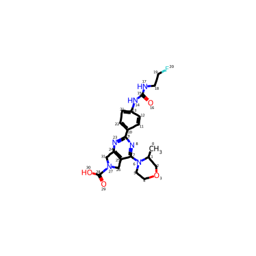 CC1COCCN1c1nc(-c2ccc(NC(=O)NCCF)cc2)nc2c1CN(C(=O)O)C2